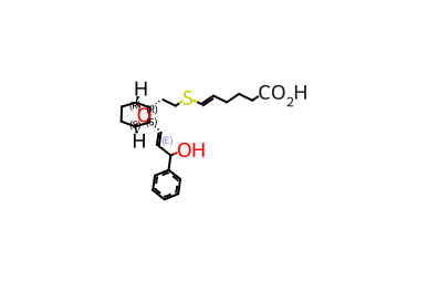 O=C(O)CCCC=CSCC[C@@H]1[C@H](/C=C/C(O)c2ccccc2)[C@@H]2CC[C@H]1O2